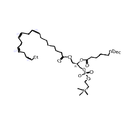 CC/C=C\C/C=C\C/C=C\C/C=C\CCCCCCC(=O)OC[C@H](COP(=O)([O-])OCC[N+](C)(C)C)OC(=O)CCCCCCCCCCCCCC